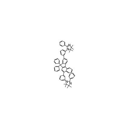 CC1(C)N=C(c2ccccc2)N(c2cccc(-c3ccc4c(c3)C(c3ccccc3)(c3ccccc3)c3cc(-c5cccc(N6C(c7ccccc7)=NC(C)(C)C6(C)C)c5)c5ccccc5c3-4)c2)C1(C)C